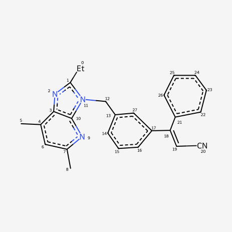 CCc1nc2c(C)cc(C)nc2n1Cc1cccc(/C(=C/C#N)c2ccccc2)c1